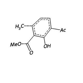 COC(=O)c1c(C)ccc(C(C)=O)c1O